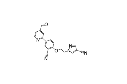 N#Cc1cnn(CCOc2ccc(-c3cc(C=O)ccn3)cc2C#N)c1